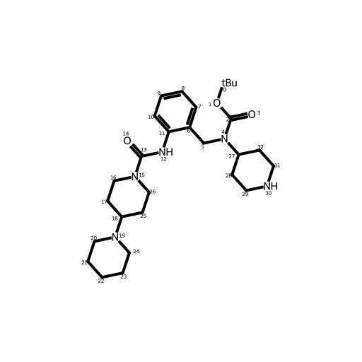 CC(C)(C)OC(=O)N(Cc1ccccc1NC(=O)N1CCC(N2CCCCC2)CC1)C1CCNCC1